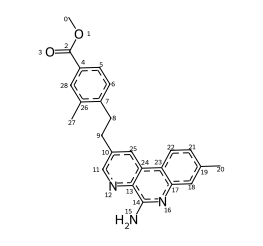 COC(=O)c1ccc(CCc2cnc3c(N)nc4cc(C)ccc4c3c2)c(C)c1